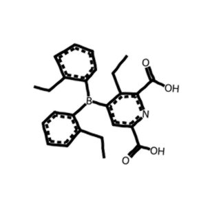 CCc1ccccc1B(c1ccccc1CC)c1cc(C(=O)O)nc(C(=O)O)c1CC